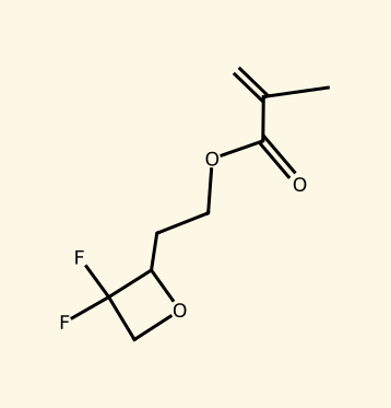 C=C(C)C(=O)OCCC1OCC1(F)F